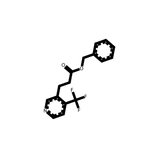 O=C(CCc1cnccc1C(F)(F)F)OCc1ccccc1